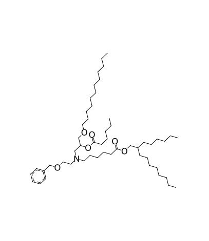 CCCCCCCCCCCCOCC(CN(CCCCCC(=O)OCC(CCCCCC)CCCCCCCC)CCOCc1ccccc1)OC(=O)CCCCC